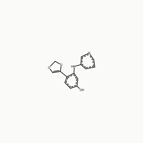 Oc1ccc(C2=COCO2)c(Nc2cccnc2)c1